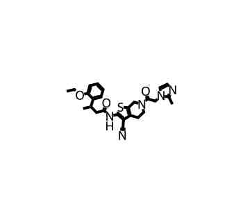 CCOc1ccccc1C(C)CC(=O)Nc1sc2c(c1C#N)CCN(C(=O)Cn1ccnc1C)C2